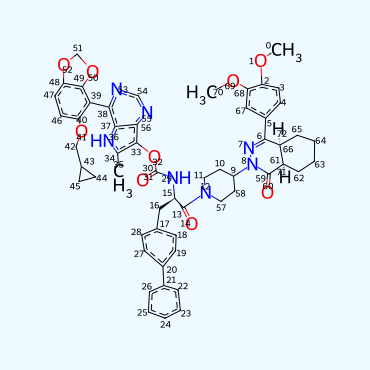 COc1ccc(C2=NN(C3CCN(C(=O)[C@@H](Cc4ccc(-c5ccccc5)cc4)NC(=O)Oc4c(C)[nH]c5c(-c6c(OCC7CC7)ccc7c6OCO7)ncnc45)CC3)C(=O)[C@@H]3CCCC[C@H]23)cc1OC